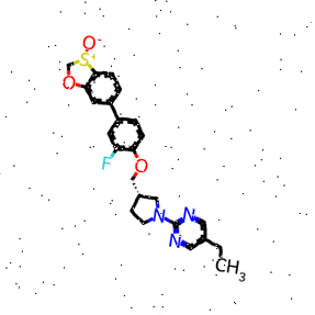 CCc1cnc(N2CC[C@H](COc3ccc(-c4ccc5c(c4)OC[S@@+]5[O-])cc3F)C2)nc1